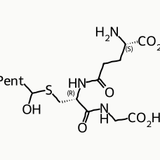 CCCCCC(O)SC[C@H](NC(=O)CC[C@H](N)C(=O)O)C(=O)NCC(=O)O